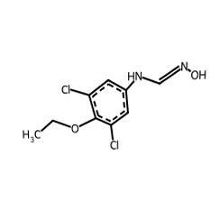 CCOc1c(Cl)cc(N/C=N/O)cc1Cl